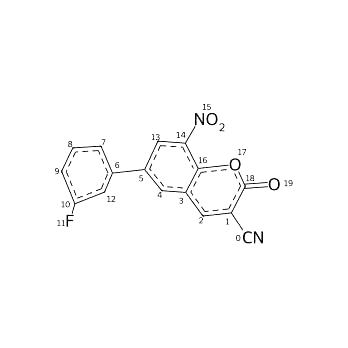 N#Cc1cc2cc(-c3cccc(F)c3)cc([N+](=O)[O-])c2oc1=O